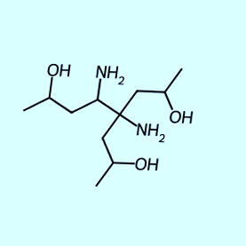 CC(O)CC(N)C(N)(CC(C)O)CC(C)O